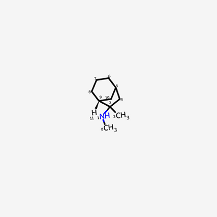 CNC1(C)CC2CCC[C@@H]1C2